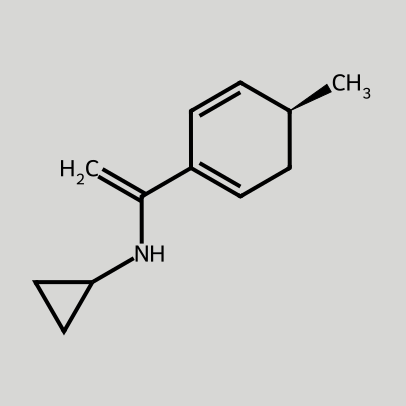 C=C(NC1CC1)C1=CC[C@H](C)C=C1